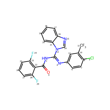 O=C(N/C(=N/c1ccc(Cl)c(C(F)(F)F)c1)n1cnc2ccccc21)c1c(F)cccc1F